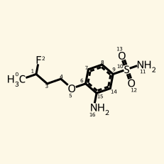 CC(F)CCOc1ccc(S(N)(=O)=O)cc1N